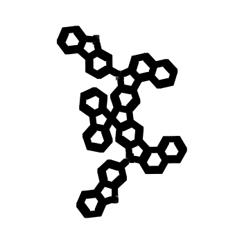 c1ccc2c(c1)-c1ccccc1C21c2cc3c(cc2-c2cc4c5c6ccccc6ccc5n(-c5ccc6c(c5)sc5ccccc56)c4cc21)c1c2ccccc2ccc1n3-c1ccc2c(c1)sc1ccccc12